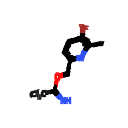 Cc1nc(COC(=N)C(Cl)(Cl)Cl)ccc1Br